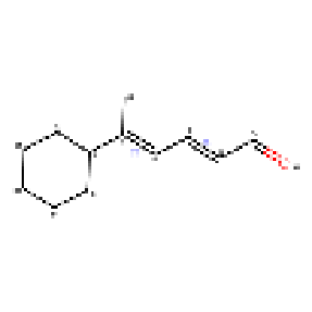 C/C(=C\C=C\C=O)C1CCCCC1